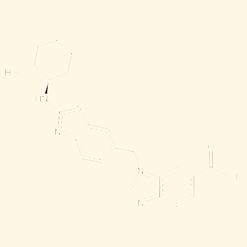 CC(=O)c1ccc2ncn(Cc3ccc4nc(N[C@@H]5CCCC[C@H]5O)sc4c3)c2c1